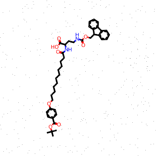 CC(C)(C)OC(=O)c1ccc(OCCCCCCCCCCCC(=O)NC(CCNC(=O)OCC2c3ccccc3-c3ccccc32)C(=O)O)cc1